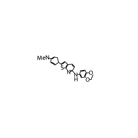 CNC1=CCC(c2cc3ccc(Nc4ccc5c(c4)OCCO5)nc3s2)C=C1